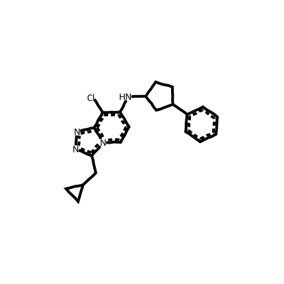 Clc1c(NC2CCC(c3ccccc3)C2)ccn2c(CC3CC3)nnc12